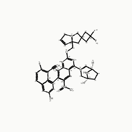 C#Cc1c(F)ccc2cc(O)cc(-c3c([N+](=O)[O-])cc4c(N5C[C@H]6CC[C@@H](C5)N6)nc(OCC56C=CCN5CC5(CC(F)(F)C5)C6)nc4c3F)c12